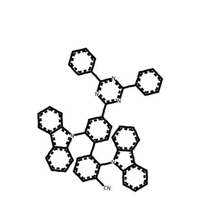 N#Cc1cccc(-c2ccc(-c3nc(-c4ccccc4)nc(-c4ccccc4)n3)cc2-n2c3ccccc3c3ccccc32)c1-n1c2ccccc2c2ccccc21